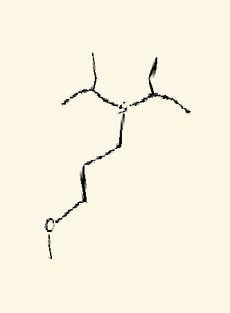 COCCC[Si](C(C)C)C(C)C